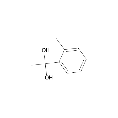 Cc1ccccc1C(C)(O)O